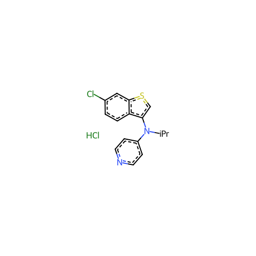 CC(C)N(c1ccncc1)c1csc2cc(Cl)ccc12.Cl